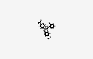 COc1ccc(CN(C(=O)Nc2ccccc2C)C2CCN(C(C)=O)CC2)cc1